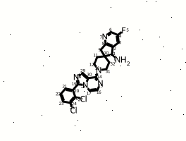 NC1c2cc(F)cnc2CC12CCN(c1nccn3c(-c4cccc(Cl)c4Cl)ncc13)CC2